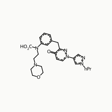 CCCn1cc(-n2ccc(=O)c(Cc3cccc(N(CCN4CCOCC4)C(=O)O)c3)n2)cn1